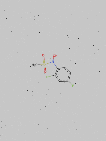 CS(=O)(=O)N(O)c1ccc(F)cc1F